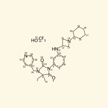 CC1(C)C(=O)N(c2cccc(NC3CN(C4CCCCC4)C3)c2)C(=O)N1Cc1ccncc1.OC(F)(F)F